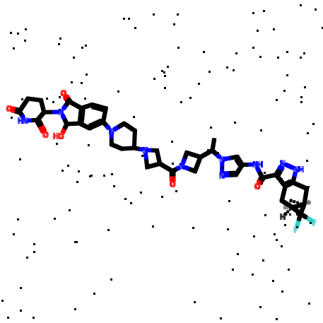 CC(C1CN(C(=O)C2CN(C3CCN(c4ccc5c(c4)C(O)N(C4CCC(=O)NC4=O)C5=O)CC3)C2)C1)n1cc(NC(=O)c2n[nH]c3c2C[C@@H]2C(F)(F)[C@]2(C)C3)cn1